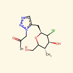 CC(C)C(=O)Cn1nncc1C[C@@H]1OC(CO)[C@@H](C)[C@H](O)C1[18F]